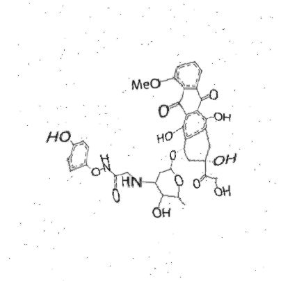 COc1cccc2c1C(=O)c1c(O)c3c(c(O)c1C2=O)C[C@@](O)(C(=O)CO)C[C@@H]3OC1CC(NCC(=O)NOc2ccc(O)cc2)C(O)C(C)O1